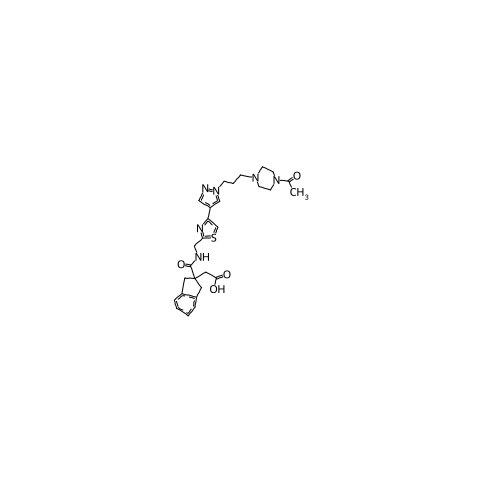 CC(=O)N1CCN(CCCn2cc(-c3csc(CNC(=O)C4(CC(=O)O)Cc5ccccc5C4)n3)cn2)CC1